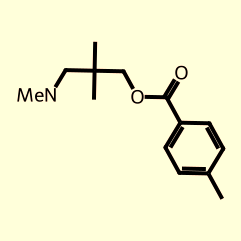 CNCC(C)(C)COC(=O)c1ccc(C)cc1